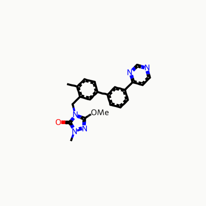 COc1nn(C)c(=O)n1Cc1cc(-c2cccc(-c3ccncn3)c2)ccc1C